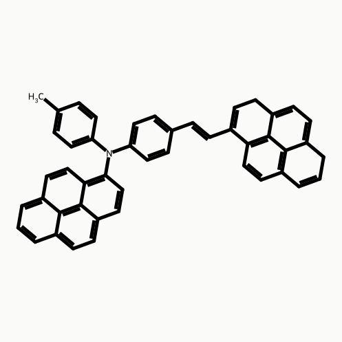 Cc1ccc(N(c2ccc(C=CC3=CCc4ccc5c6c(ccc3c46)C=CC5)cc2)c2ccc3ccc4cccc5ccc2c3c45)cc1